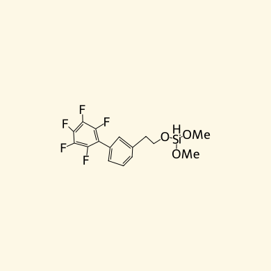 CO[SiH](OC)OCCc1cccc(-c2c(F)c(F)c(F)c(F)c2F)c1